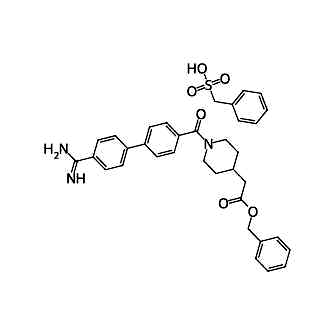 N=C(N)c1ccc(-c2ccc(C(=O)N3CCC(CC(=O)OCc4ccccc4)CC3)cc2)cc1.O=S(=O)(O)Cc1ccccc1